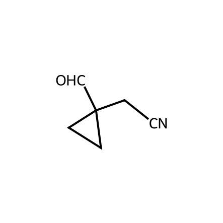 N#CCC1(C=O)CC1